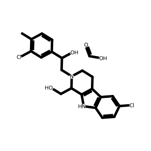 Cc1ccc(C(O)CN2CCc3c([nH]c4ccc(Cl)cc34)C2CO)cc1Cl.O=CO